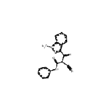 Cn1nc(C(=O)C(C#N)C(=O)Nc2ccccc2)c2ccccc21